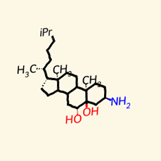 CC(C)CCC[C@@H](C)[C@H]1CCC2C3C[C@@H](O)C4(O)C[C@H](N)CC[C@]4(C)C3CC[C@@]21C